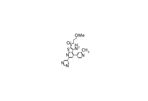 COCCC[S+]([O-])c1sc2nc(-c3cncnc3)cc(-c3ccnc(C)c3)c2c1N